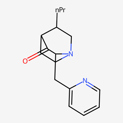 CCCC1CN2CCC1C(=O)C2Cc1ccccn1